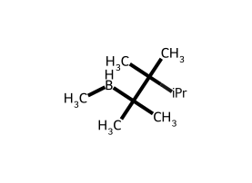 CBC(C)(C)C(C)(C)C(C)C